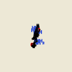 C=C/C(=C\N=C(/N)NCC1CCCO1)c1ccc2[nH]c(NC(=O)NCC)nc2c1